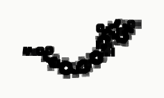 C=CCn1c(=O)c2cnc(Nc3ccc(N4CCN(CC5CCC(N6CC(CC(=O)OC)C6)CC5)CC4)cc3)nc2n1-c1cccc(C(C)(C)O)n1